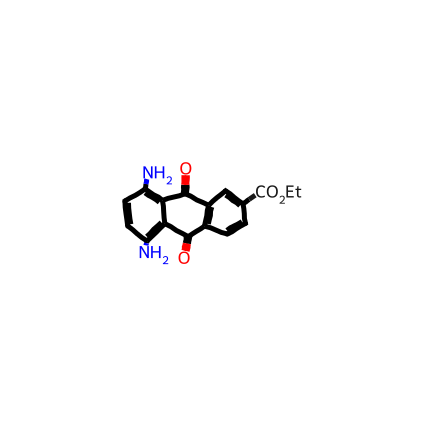 CCOC(=O)c1ccc2c(c1)C(=O)c1c(N)ccc(N)c1C2=O